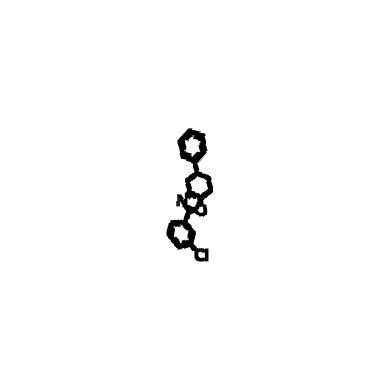 Clc1cccc(-c2nc3c(o2)CCC(c2ccccc2)C3)c1